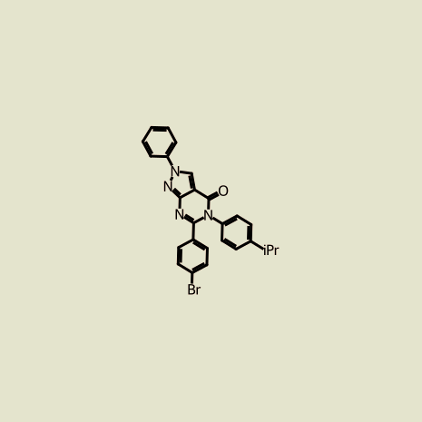 CC(C)c1ccc(-n2c(-c3ccc(Br)cc3)nc3nn(-c4ccccc4)cc3c2=O)cc1